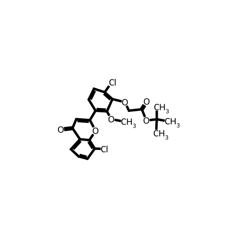 COc1c(-c2cc(=O)c3cccc(Cl)c3o2)ccc(Cl)c1OCC(=O)OC(C)(C)C